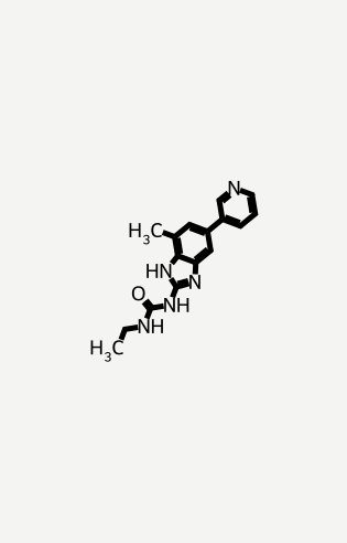 CCNC(=O)Nc1nc2cc(-c3cccnc3)cc(C)c2[nH]1